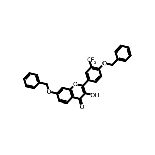 O=c1c(O)c(-c2ccc(OCc3ccccc3)c(C(F)(F)F)c2)oc2cc(OCc3ccccc3)ccc12